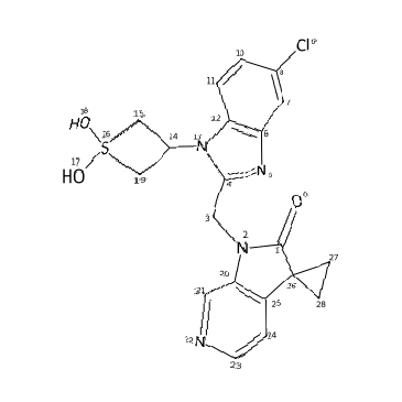 O=C1N(Cc2nc3cc(Cl)ccc3n2C2CS(O)(O)C2)c2cnccc2C12CC2